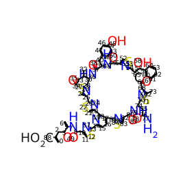 C=C(CC(=O)C(=C)NC(=O)c1csc(-c2ccc3c(n2)-c2csc(n2)-c2csc(n2)C(C(C)C2CO2)NC(=O)C(Cc2ccc(O)cc2)NC(=O)c2csc(n2)C(C(O)c2ccccc2)CC(=O)c2nc(sc2C)C(CC(N)=O)NC(=O)c2csc-3n2)n1)C(=O)O